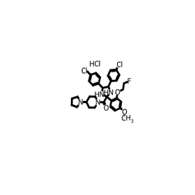 COc1ccc(C2(C(=O)N3CCC(N4CCCC4)CC3)NC(c3ccc(Cl)cc3)C(c3ccc(Cl)cc3)N2)c(OCCF)c1.Cl